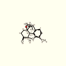 Cc1ccc2c3c1O[C@H]1C(=O)CC[C@]45OCN(CC[C@]314)[C@@H]5C2